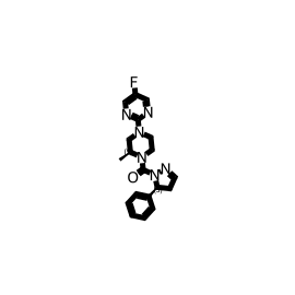 C[C@H]1CN(c2ncc(F)cn2)CCN1C(=O)N1N=CC[C@H]1c1ccccc1